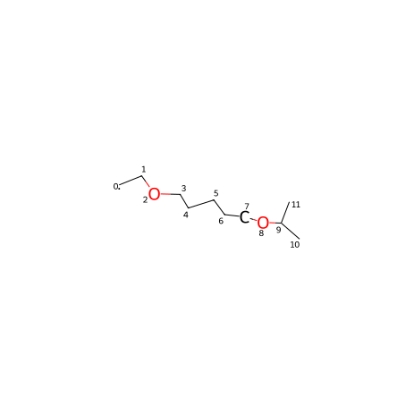 [CH2]COCCCCCOC(C)C